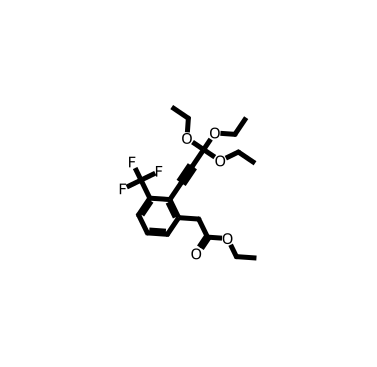 CCOC(=O)Cc1cccc(C(F)(F)F)c1C#CC(OCC)(OCC)OCC